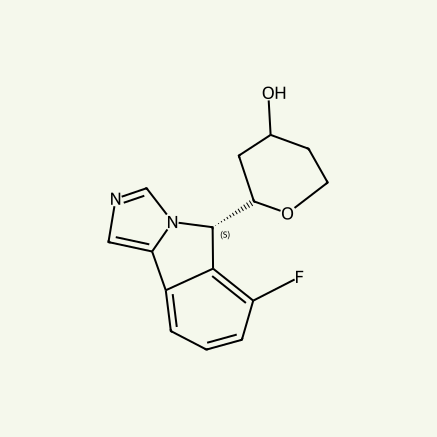 OC1CCOC([C@@H]2c3c(F)cccc3-c3cncn32)C1